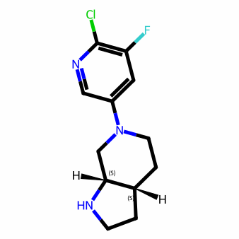 Fc1cc(N2CC[C@@H]3CCN[C@@H]3C2)cnc1Cl